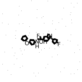 OC(CF)(CNc1ccc(Oc2ccccc2)cc1)c1ccc2c(cnn2-c2ccc(F)cc2)c1